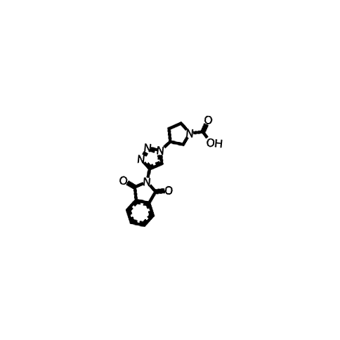 O=C(O)N1CCC(n2cc(N3C(=O)c4ccccc4C3=O)nn2)C1